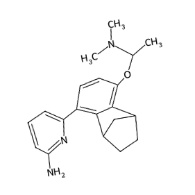 CC(Oc1ccc(-c2cccc(N)n2)c2c1C1CCC2C1)N(C)C